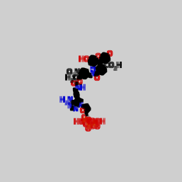 CC(OC(=O)NCC#Cc1cn([C@H]2CC[C@@H](COP(=O)(O)OP(=O)(O)OP(=O)(O)O)O2)c2ncnc(N)c12)c1cc(CNC(=O)c2ccc(C(=O)O)c(-c3c4ccc(=O)cc-4oc4cc(O)ccc34)c2)ccc1[N+](=O)[O-]